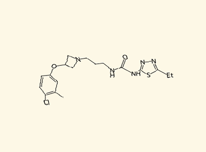 CCc1nnc(NC(=O)NCCCN2CC(Oc3ccc(Cl)c(C)c3)C2)s1